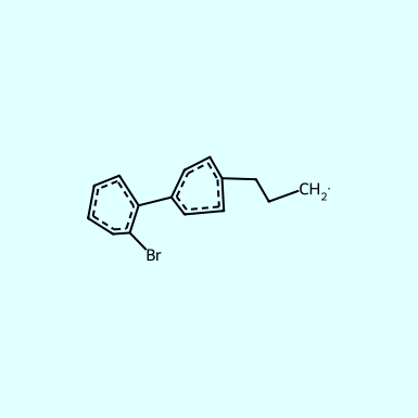 [CH2]CCc1ccc(-c2ccccc2Br)cc1